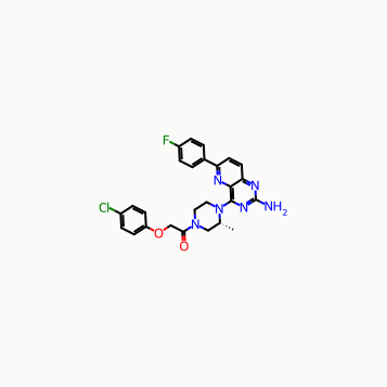 C[C@@H]1CN(C(=O)COc2ccc(Cl)cc2)CCN1c1nc(N)nc2ccc(-c3ccc(F)cc3)nc12